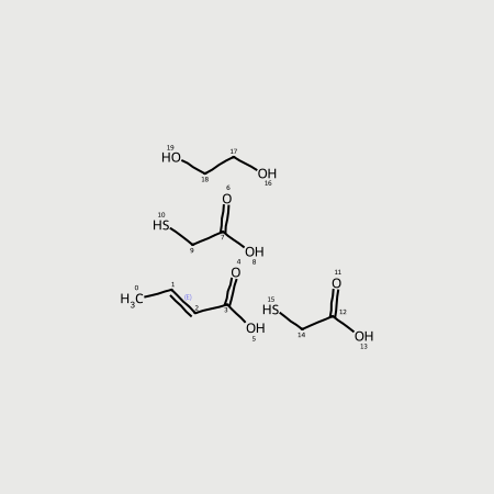 C/C=C/C(=O)O.O=C(O)CS.O=C(O)CS.OCCO